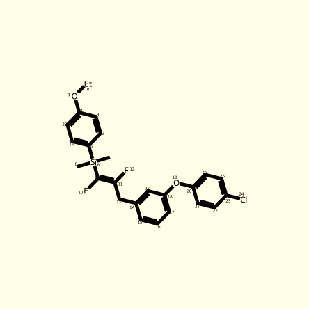 CCOc1ccc([Si](C)(C)C(F)=C(F)Cc2cccc(Oc3ccc(Cl)cc3)c2)cc1